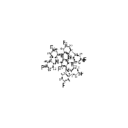 Fc1ccc2c(c1)c1cc(F)cc3c1n2-c1c(F)c2c4c5c1B3c1cc(F)cc3c6cc(F)cc(c6n-5c13)B4c1cc(F)cc3c4cc(F)ccc4n-2c13